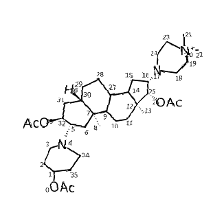 CC(=O)OC1CCN([C@H]2C[C@]3(C)C4CC[C@@]5(C)C(C[C@H](N6CC[N+](C)(C)CC6)[C@@H]5OC(C)=O)C4CC[C@H]3C[C@@H]2OC(C)=O)CC1